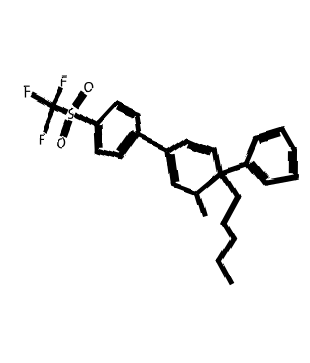 CCCCCC1(c2ccccc2)C=CC(c2ccc(S(=O)(=O)C(F)(F)F)cc2)=CC1C